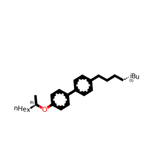 CCCCCC[C@@H](C)Oc1ccc(-c2ccc(CCCC[C@@H](C)CC)cc2)cc1